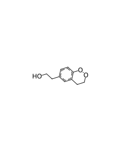 OCCc1ccc2c(c1)CCOO2